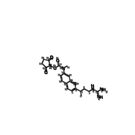 CC(CCNC(=N)N)c1ccc2ccc(N(C)C(=O)ON3C(=O)CCC3=O)cc2n1